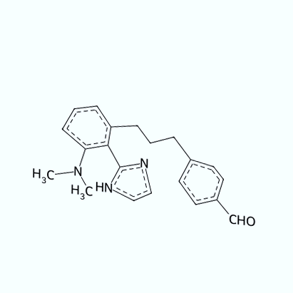 CN(C)c1cccc(CCCc2ccc(C=O)cc2)c1-c1ncc[nH]1